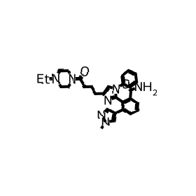 CCN1CCN(C(=O)CCCc2cn(-c3ccccc3)c(-c3c(C(N)=O)cccc3-c3cnn(C)c3)n2)CC1